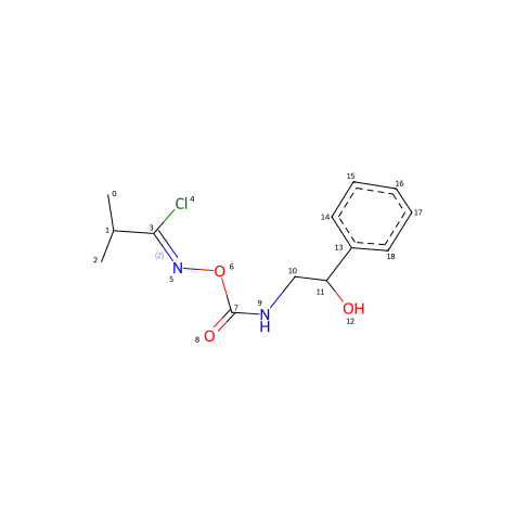 CC(C)/C(Cl)=N/OC(=O)NCC(O)c1ccccc1